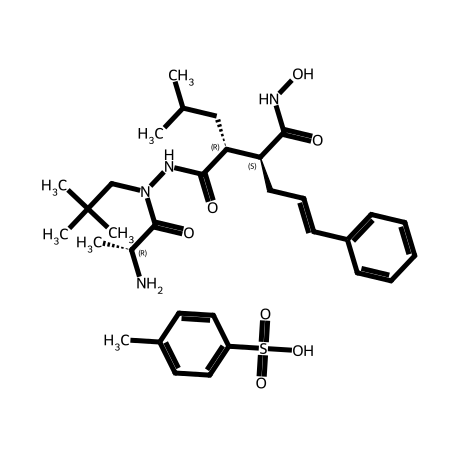 CC(C)C[C@@H](C(=O)NN(CC(C)(C)C)C(=O)[C@@H](C)N)[C@H](CC=Cc1ccccc1)C(=O)NO.Cc1ccc(S(=O)(=O)O)cc1